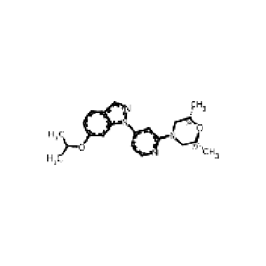 CC(C)Oc1ccc2cnn(-c3ccnc(N4C[C@@H](C)O[C@@H](C)C4)c3)c2c1